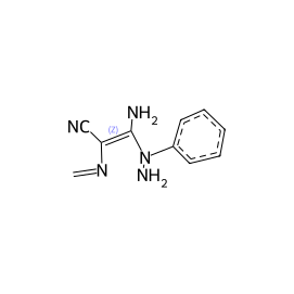 C=N/C(C#N)=C(/N)N(N)c1ccccc1